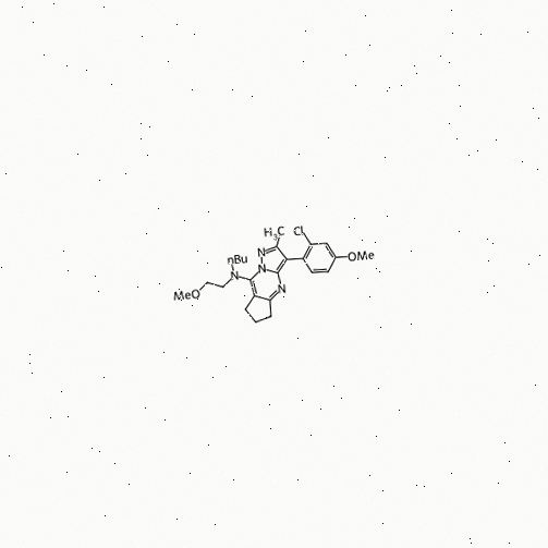 CCCCN(CCOC)c1c2c(nc3c(-c4ccc(OC)cc4Cl)c(C)nn13)CCC2